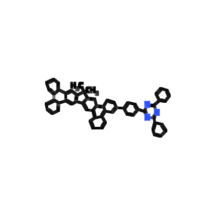 CC1(C)c2cc3c4ccccc4c4ccccc4c3cc2-c2cc3c4ccccc4c4cc(-c5ccc(-c6nc(-c7ccccc7)nc(-c7ccccc7)n6)cc5)ccc4c3cc21